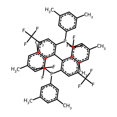 Cc1cc(C)cc(P(c2cc(C)cc(C)c2)c2cc(C(F)(F)F)cc(C(F)(F)F)c2-c2c(P(c3cc(C)cc(C)c3)c3cc(C)cc(C)c3)cc(C(F)(F)F)cc2C(F)(F)F)c1